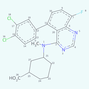 CN(c1ncnc2c(F)ccc(-c3ccc(Cl)c(Cl)c3)c12)C1CCCC(C(=O)O)C1